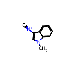 [C-]#[N+]c1cn(C)c2ccccc12